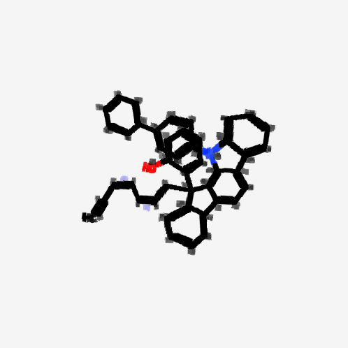 C#C/C=C\C=C/CC1(c2ccccc2O)c2ccccc2-c2ccc3c4ccccc4n(-c4ccc(-c5ccccc5)cc4)c3c21